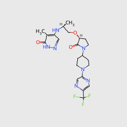 Cc1c(N[C@@H](C)CO[C@H]2CCN(C3CCN(c4cnc(C(F)(F)F)cn4)CC3)C2=O)cn[nH]c1=O